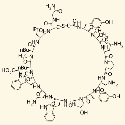 CCCC[C@H]1C(=O)N(C)[C@@H](CCCC)C(=O)N[C@@H](CC(C)C)C(=O)N[C@H](C(=O)NCC(N)=O)CSCC(=O)N[C@@H](Cc2ccc(O)cc2)C(=O)N(C)[C@@H](C)C(=O)N[C@@H](CC(N)=O)C(=O)N2CCCC2C(=O)N[C@@H](CN)C(=O)N[C@@H](Cc2ccc(O)cc2)C(=O)N2C[C@H](O)C[C@H]2C(=O)N[C@@H](Cc2c[nH]c3ccccc23)C(=O)N[C@@H](CCN)C(=O)N[C@@H](Cc2cn(CC(=O)O)c3ccccc23)C(=O)N1C